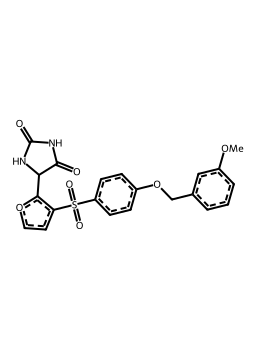 COc1cccc(COc2ccc(S(=O)(=O)c3ccoc3C3NC(=O)NC3=O)cc2)c1